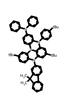 CC(C)(C)c1ccc(N2c3cc(N(c4ccccc4)c4ccccc4)ccc3B3c4cc(C(C)(C)C)ccc4N(c4ccc5c(c4)C(C)(C)c4ccccc4-5)c4cc(C(C)(C)C)cc2c43)cc1